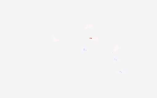 O=C(c1ccc(NC(c2ccc(OCc3ccccc3)cc2)[C@H](O)CO)cc1)N1CCNCC1